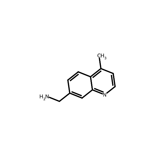 Cc1ccnc2cc(CN)ccc12